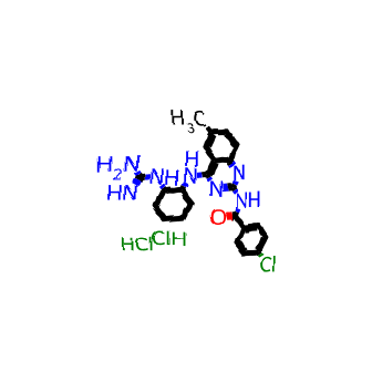 Cc1ccc2nc(NC(=O)c3ccc(Cl)cc3)nc(NC3CCCCC3NC(=N)N)c2c1.Cl.Cl